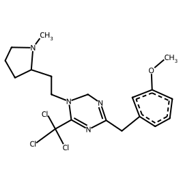 COc1cccc(CC2=NCN(CCC3CCCN3C)C(C(Cl)(Cl)Cl)=N2)c1